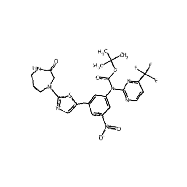 CC(C)(C)OC(=O)N(c1cc(-c2cnc(N3CCCNC(=O)C3)s2)cc([N+](=O)[O-])c1)c1nccc(C(F)(F)F)n1